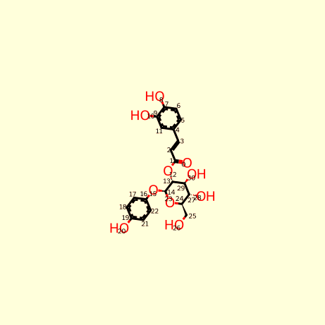 O=C(/C=C/c1ccc(O)c(O)c1)O[C@H]1[C@H](Oc2ccc(O)cc2)O[C@H](CO)[C@@H](O)[C@@H]1O